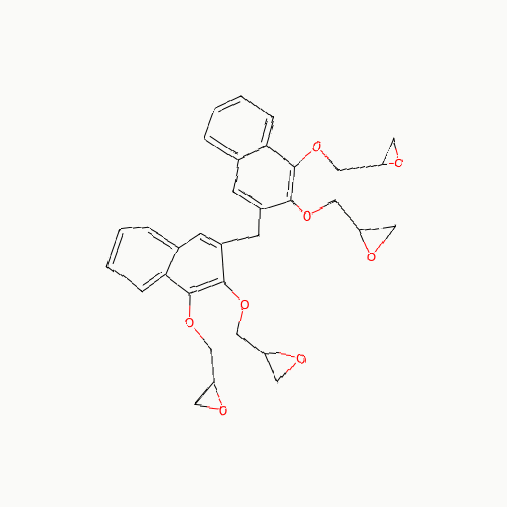 c1ccc2c(OCC3CO3)c(OCC3CO3)c(Cc3cc4ccccc4c(OCC4CO4)c3OCC3CO3)cc2c1